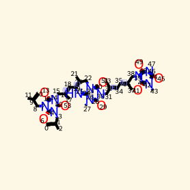 C=C(C)Cn1c(=O)n(CC(=C)C)c(=O)n(C/C(C)=C/C=C(\C)Cn2c(=N)n(C)c(=O)n(C/C(C)=C/C=C(\C)Cn3c(=O)n(C)c(=O)n(C)c3=O)c2=O)c1=O